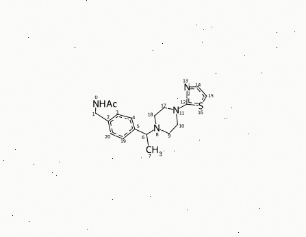 CC(=O)NCc1ccc(C(C)N2CCN(c3nccs3)CC2)cc1